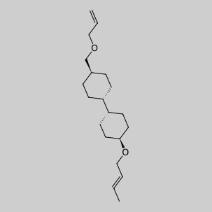 C=CCOC[C@H]1CC[C@H]([C@H]2CC[C@H](OCC=CC)CC2)CC1